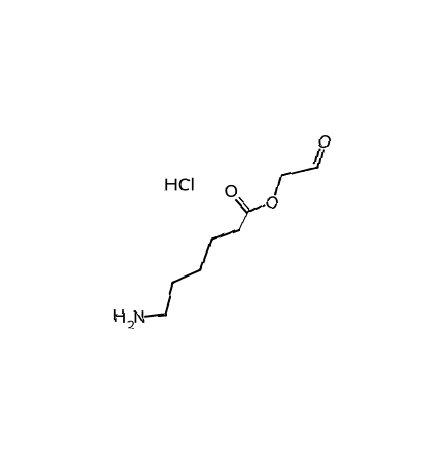 Cl.NCCCCCC(=O)OCC=O